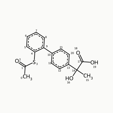 CC(=O)Sc1ccccc1-c1ccc(C(C)(O)C(=O)O)cc1